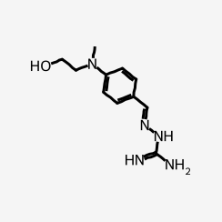 CN(CCO)c1ccc(C=NNC(=N)N)cc1